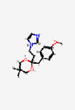 COc1ccc(CC2(CCn3ccnc3)OCC(C)(C)CO2)cc1